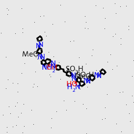 COc1cc(N=Nc2ccccc2)ccc1N=Nc1ccc(N)c2c(O)c(N=Nc3ccc(/C=C/c4ccc(N=Nc5c(S(=O)(=O)O)cc6c(N=Nc7ccc(N=Nc8ccccc8)cc7OC)ccc(N)c6c5O)cc4S(=O)(=O)O)cc3)ccc12